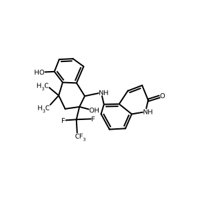 CC1(C)CC(O)(C(F)(F)C(F)(F)F)C(Nc2cccc3[nH]c(=O)ccc23)c2cccc(O)c21